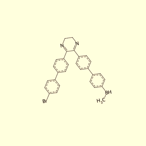 CBc1ccc(-c2ccc(C3=NCCN=C3c3ccc(-c4ccc(Br)cc4)cc3)cc2)cc1